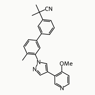 COc1ccncc1-c1cnn(-c2cc(-c3cccc(C(C)(C)C#N)c3)ccc2C)c1